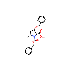 COC(=O)C1C(OCc2ccccc2)C[C@@H](C)N1C(=O)OCc1ccccc1